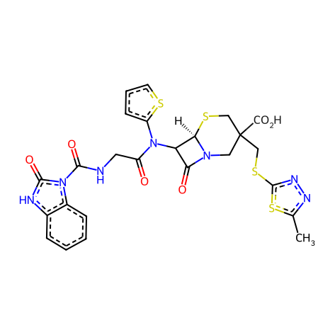 Cc1nnc(SCC2(C(=O)O)CS[C@@H]3C(N(C(=O)CNC(=O)n4c(=O)[nH]c5ccccc54)c4cccs4)C(=O)N3C2)s1